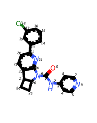 O=C(Nc1ccncc1)N1c2nc(-c3cccc(Cl)c3)ccc2C2CCC21